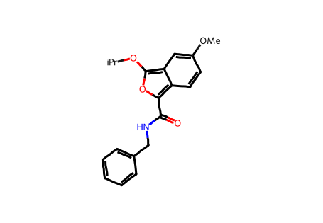 COc1ccc2c(C(=O)NCc3ccccc3)oc(OC(C)C)c2c1